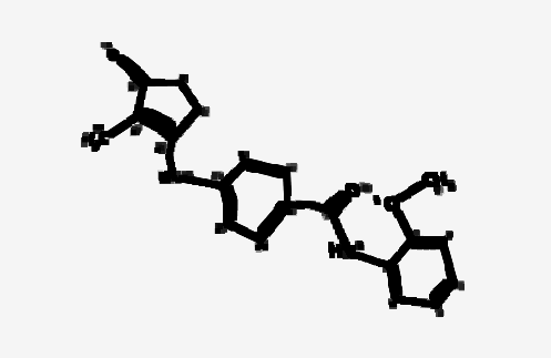 COc1ccccc1NC(=O)c1ccc(NC2=C(C)C(=O)CC2)cc1